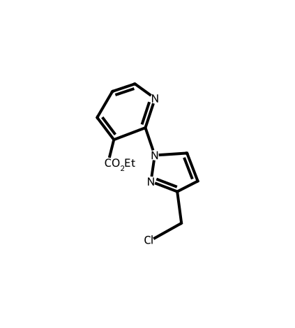 CCOC(=O)c1cccnc1-n1ccc(CCl)n1